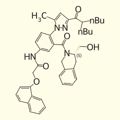 CCCCC(CCCC)C(=O)c1cc(C)n(-c2ccc(NC(=O)COc3cccc4ccccc34)cc2C(=O)N2Cc3ccccc3C[C@H]2CO)n1